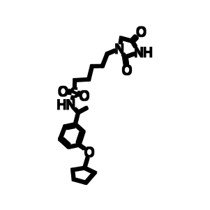 CC(NS(=O)(=O)CCCCCN1CC(=O)NC1=O)c1cccc(OC2CCCC2)c1